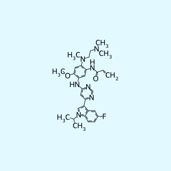 C=CC(=O)Nc1cc(Nc2cc(-c3cn(C(C)C)c4ccc(F)cc34)ncn2)c(OC)cc1N(C)CCN(C)C